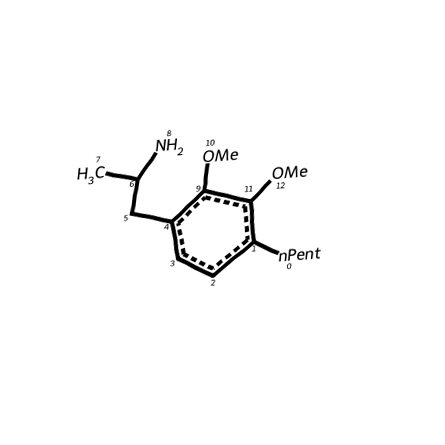 CCCCCc1ccc(CC(C)N)c(OC)c1OC